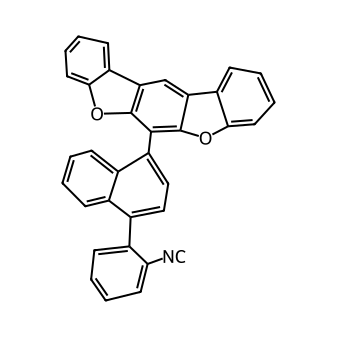 [C-]#[N+]c1ccccc1-c1ccc(-c2c3oc4ccccc4c3cc3c2oc2ccccc23)c2ccccc12